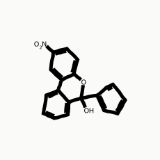 O=[N+]([O-])c1ccc2c(c1)-c1ccccc1C(O)(c1ccccc1)O2